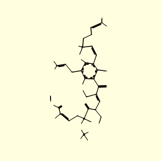 CCC(/C=C1\COc2c(CC=C(C)C)c3c(c(O)c2C1=O)C=CC(C)(CCC=C(C)C)O3)C(=O)C(C)(C/C=C(/C)C(=O)OC)OC(C)(C)C